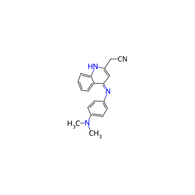 CN(C)c1ccc(/N=c2/cc(CC#N)[nH]c3ccccc23)cc1